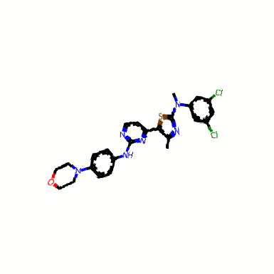 Cc1nc(N(C)c2cc(Cl)cc(Cl)c2)sc1-c1ccnc(Nc2ccc(N3CCOCC3)cc2)n1